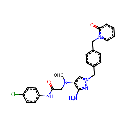 Nc1nn(Cc2ccc(Cn3ccccc3=O)cc2)cc1N(C=O)CC(=O)Nc1ccc(Cl)cc1